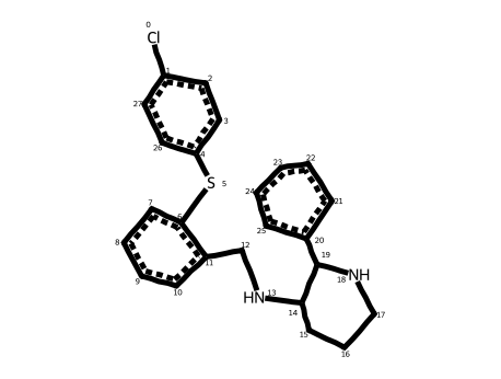 Clc1ccc(Sc2ccccc2CNC2CCCNC2c2ccccc2)cc1